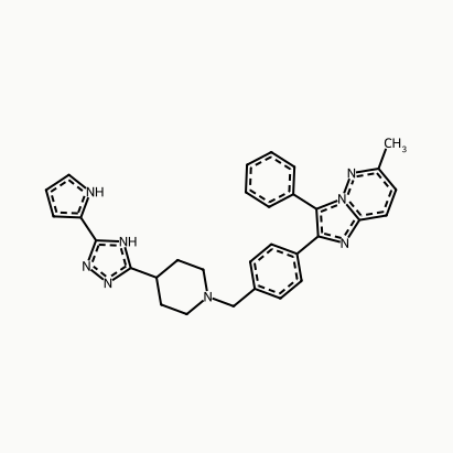 Cc1ccc2nc(-c3ccc(CN4CCC(c5nnc(-c6ccc[nH]6)[nH]5)CC4)cc3)c(-c3ccccc3)n2n1